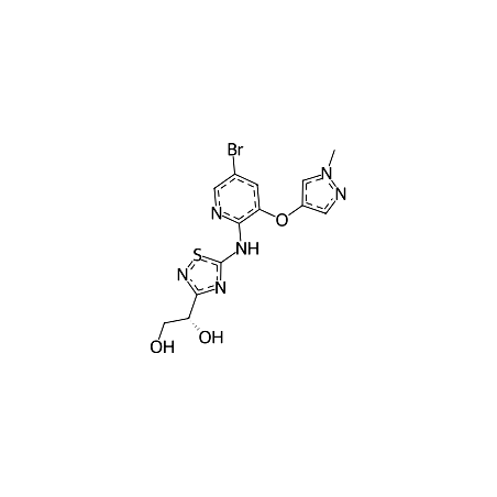 Cn1cc(Oc2cc(Br)cnc2Nc2nc([C@H](O)CO)ns2)cn1